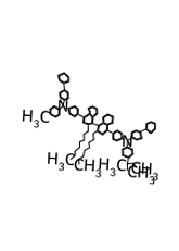 CCCCCCCCc1cc(-c2ccc(N(c3ccc(C)cc3)c3ccc(-c4ccccc4)cc3)cc2)c2ccccc2c1-c1c(CCCCCCCC)cc(-c2ccc(N(c3ccc(-c4ccccc4)cc3)c3ccc(C(C)(CC)CC)cc3)cc2)c2ccccc12